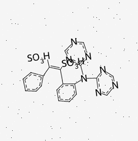 O=S(=O)(O)C(=C(c1ccccc1N(c1ncncn1)c1ncncn1)S(=O)(=O)O)c1ccccc1